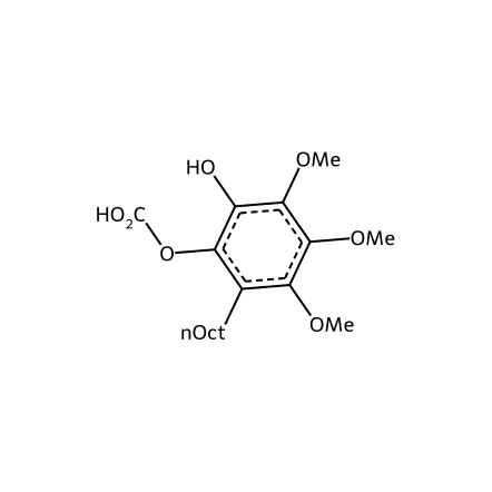 CCCCCCCCc1c(OC(=O)O)c(O)c(OC)c(OC)c1OC